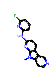 Cn1c2ccncc2c2ccc(Nc3cccc(F)n3)nc21